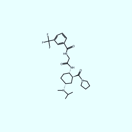 CC(C)N(C)[C@@H]1CC[C@H](NC(=O)CNC(=O)c2cccc(C(F)(F)F)c2)[C@@H](C(=O)N2CCCC2)C1